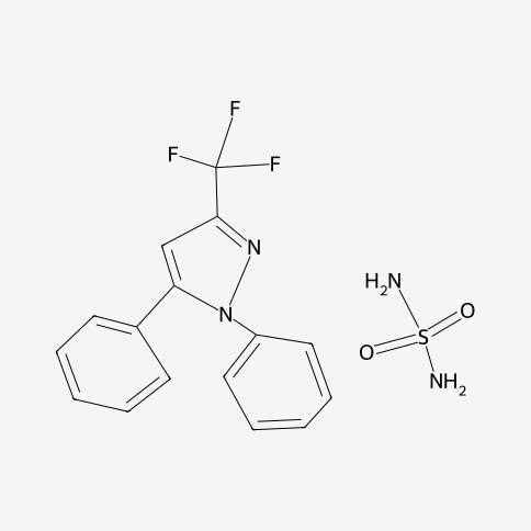 FC(F)(F)c1cc(-c2ccccc2)n(-c2ccccc2)n1.NS(N)(=O)=O